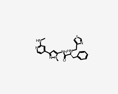 CNc1cc(-c2cc(NC(=O)[C@H](Cc3ccccc3)NCc3cscn3)n(C)n2)ccn1